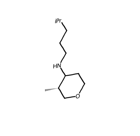 CC(C)CCCNC1CCOC[C@@H]1C